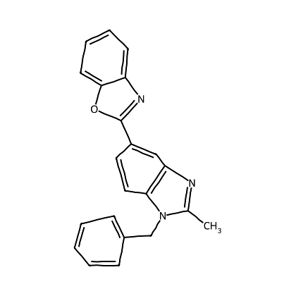 Cc1nc2cc(-c3nc4ccccc4o3)ccc2n1Cc1ccccc1